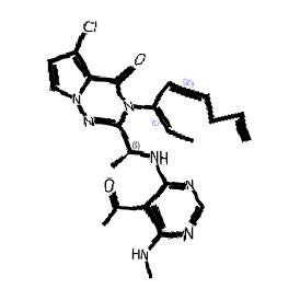 C=CC/C=C\C(=C/C)n1c([C@H](C)Nc2ncnc(NC)c2C(C)=O)nn2ccc(Cl)c2c1=O